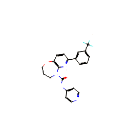 O=C(Nc1ccncc1)N1CCCOc2ccc(-c3cccc(C(F)(F)F)c3)nc21